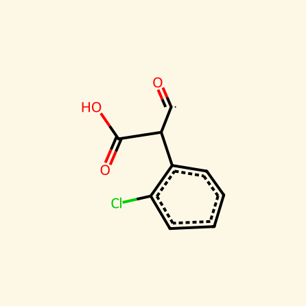 O=[C]C(C(=O)O)c1ccccc1Cl